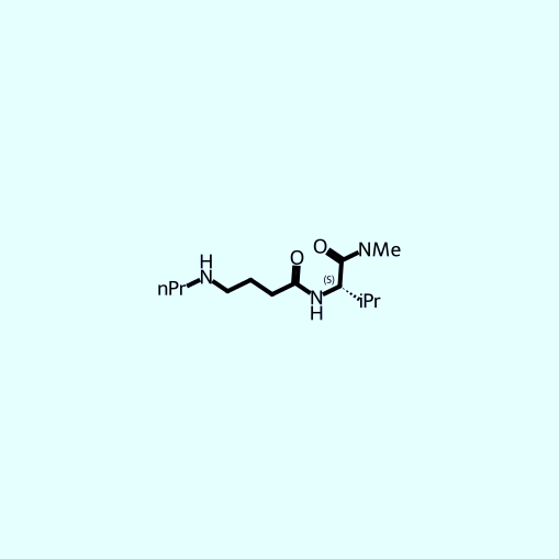 CCCNCCCC(=O)N[C@H](C(=O)NC)C(C)C